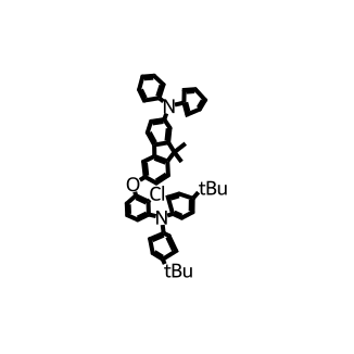 CC(C)(C)c1ccc(N(c2ccc(C(C)(C)C)cc2)c2cccc(Oc3ccc4c(c3)-c3ccc(N(c5ccccc5)c5ccccc5)cc3C4(C)C)c2Cl)cc1